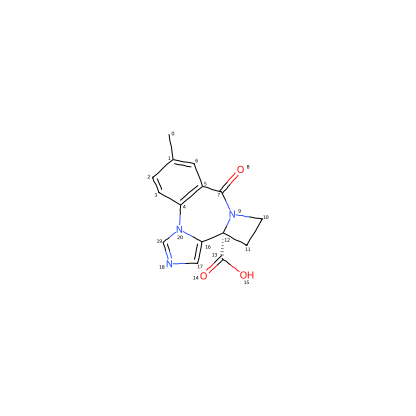 Cc1ccc2c(c1)C(=O)N1CC[C@@]1(C(=O)O)c1cncn1-2